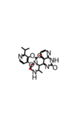 COc1ccnc(C(C)C)c1OC(=O)N1CCNC(C)C1c1nc(=O)[nH]c2ncccc12